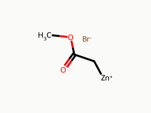 COC(=O)[CH2][Zn+].[Br-]